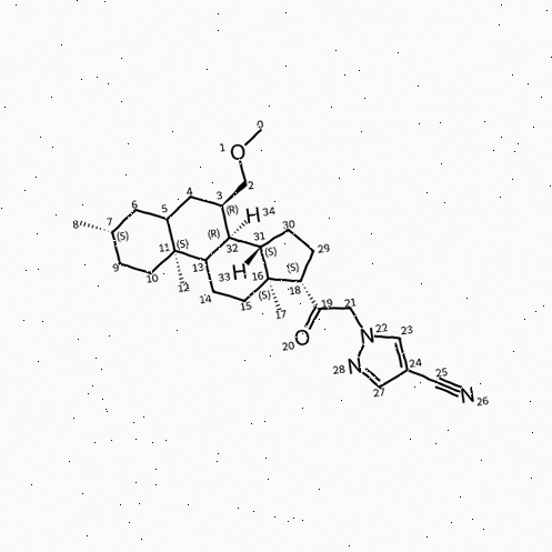 COC[C@@H]1CC2C[C@@H](C)CC[C@]2(C)C2CC[C@]3(C)[C@@H](C(=O)Cn4cc(C#N)cn4)CC[C@H]3[C@@H]21